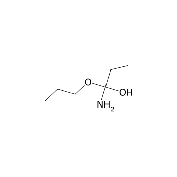 CCCOC(N)(O)CC